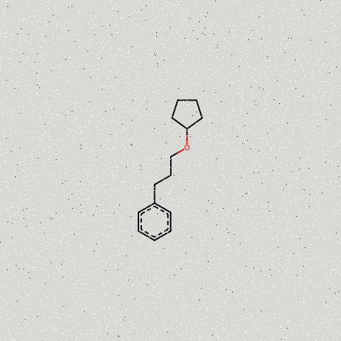 c1ccc(CCCOC2CCCC2)cc1